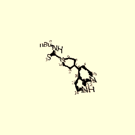 CCCCNC(=S)N1CCC(c2ccnc3[nH]ccc23)CC1